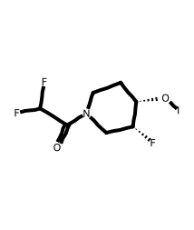 O=C(C(F)F)N1CC[C@H](OI)[C@H](F)C1